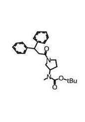 CN(C(=O)OC(C)(C)C)C1CCN(C(=O)CC(c2ccccc2)c2ccccc2)C1